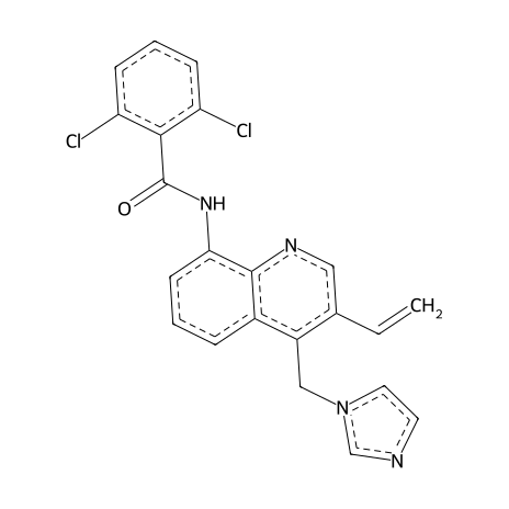 C=Cc1cnc2c(NC(=O)c3c(Cl)cccc3Cl)cccc2c1Cn1ccnc1